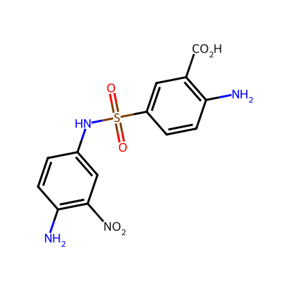 Nc1ccc(S(=O)(=O)Nc2ccc(N)c([N+](=O)[O-])c2)cc1C(=O)O